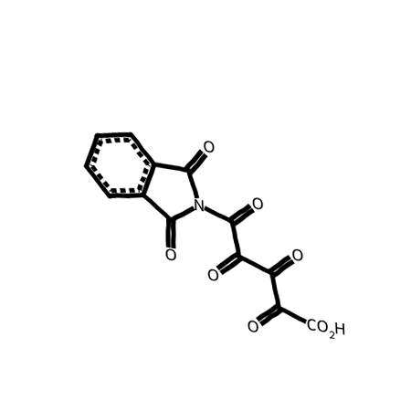 O=C(O)C(=O)C(=O)C(=O)C(=O)N1C(=O)c2ccccc2C1=O